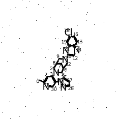 Cc1cc(N2CC3CC(CN(c4cnc5ccc(Cl)cc5n4)C3)C2)c(-n2cccn2)[c]n1